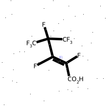 O=C(O)/C(F)=C(\F)C(F)(C(F)(F)F)C(F)(F)F